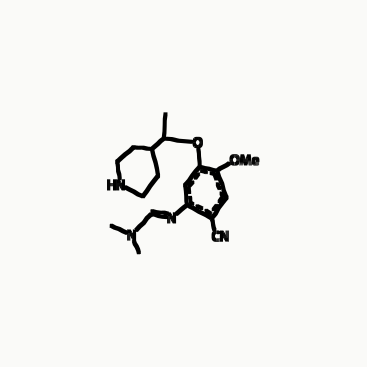 COc1cc(C#N)c(N=CN(C)C)cc1OC(C)C1CCNCC1